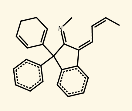 C\C=C/C=C1\C(=N/C)C(C2=CCCC=C2)(c2ccccc2)c2ccccc21